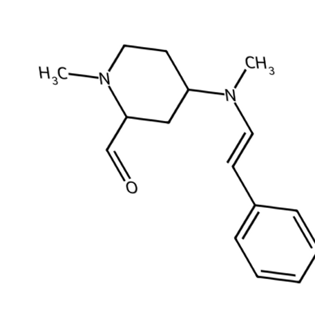 CN(C=Cc1ccccc1)C1CCN(C)C(C=O)C1